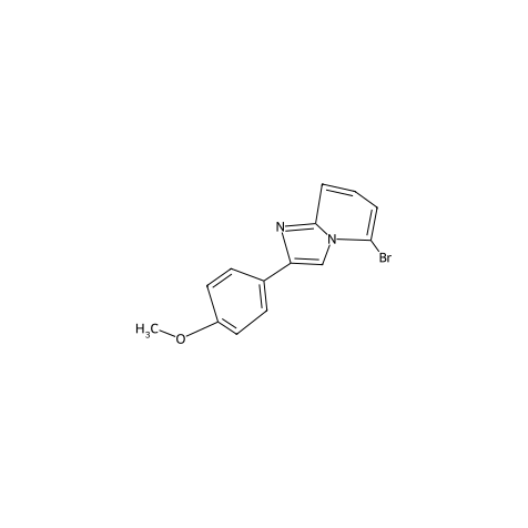 COc1ccc(-c2cn3c(Br)cccc3n2)cc1